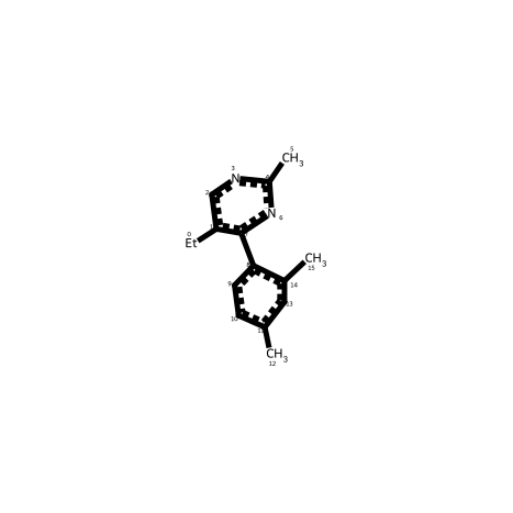 CCc1cnc(C)nc1-c1ccc(C)cc1C